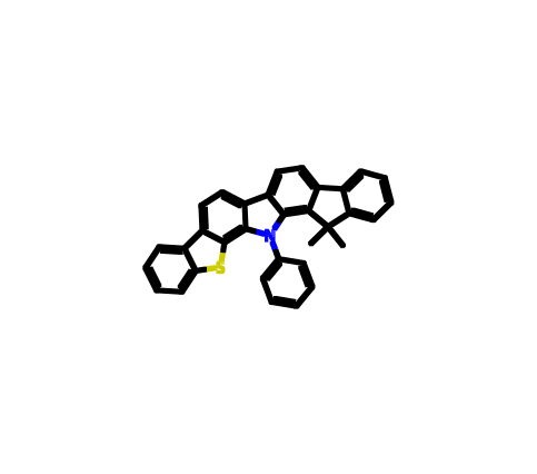 CC1(C)c2ccccc2-c2ccc3c4ccc5c6ccccc6sc5c4n(-c4ccccc4)c3c21